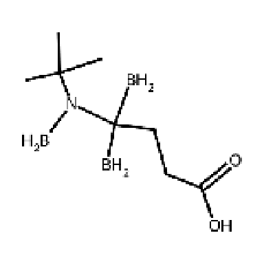 BN(C(C)(C)C)C(B)(B)CCC(=O)O